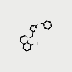 Oc1cccc2c1N(Cc1ccc(Sc3ccccc3)s1)C=CC2